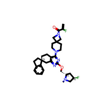 C=C(F)C(=O)N1CC2(CCN(c3nc(OC[C@@H]4C[C@@H](F)CN4C)nc4c3CC[C@@]3(CCc5ccccc53)C4)CC2)C1